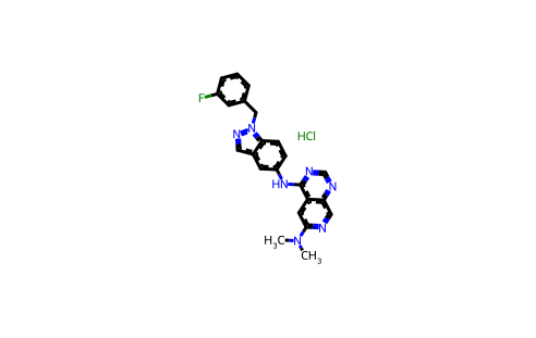 CN(C)c1cc2c(Nc3ccc4c(cnn4Cc4cccc(F)c4)c3)ncnc2cn1.Cl